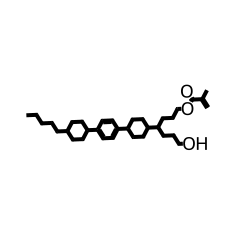 C=C(C)C(=O)OCCCC(CCCO)C1CCC(c2ccc(C3CCC(CCCCC)CC3)cc2)CC1